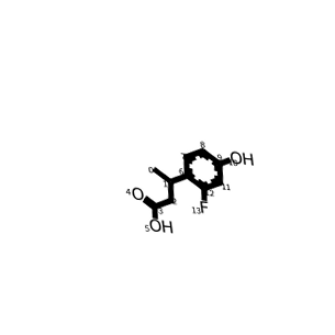 CC(CC(=O)O)c1ccc(O)cc1F